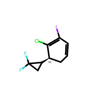 FC1(F)CC1[C@@H]1CC=CC(I)=C1Cl